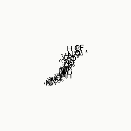 Cc1ccc(NC(=O)c2cccc(C(F)(F)F)c2)cc1N1Cc2cnc(Nc3ccc(N4CCN(C)CC4)cc3)nc2C2(CC2)C1=O